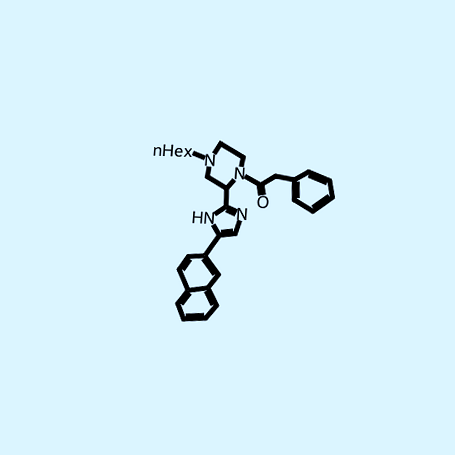 CCCCCCN1CCN(C(=O)Cc2ccccc2)C(c2ncc(-c3ccc4ccccc4c3)[nH]2)C1